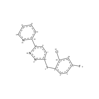 Fc1ccc(Sc2ccc(-c3ccccn3)nn2)c(Cl)c1